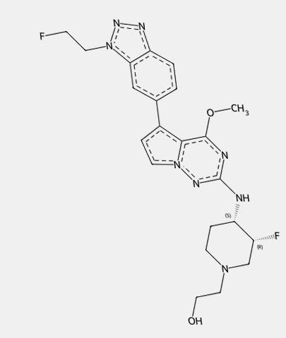 COc1nc(N[C@H]2CCN(CCO)C[C@H]2F)nn2ccc(-c3ccc4nnn(CCF)c4c3)c12